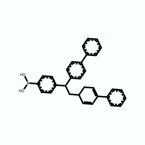 OB(O)c1ccc(C(CC2C=CC(c3ccccc3)=CC2)c2ccc(-c3ccccc3)cc2)cc1